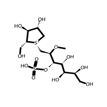 CO[C@H](C[S@@+]1C[C@@H](O)[C@H](O)[C@H]1CO)[C@@H](OS(=O)(=O)O)[C@H](O)[C@H](O)[C@@H](O)CO